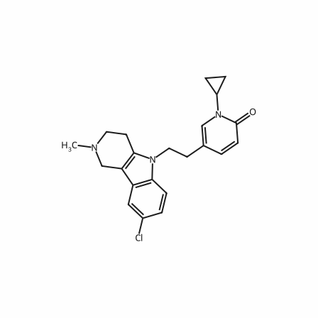 CN1CCc2c(c3cc(Cl)ccc3n2CCc2ccc(=O)n(C3CC3)c2)C1